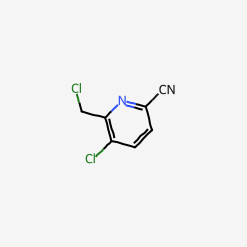 N#Cc1ccc(Cl)c(CCl)n1